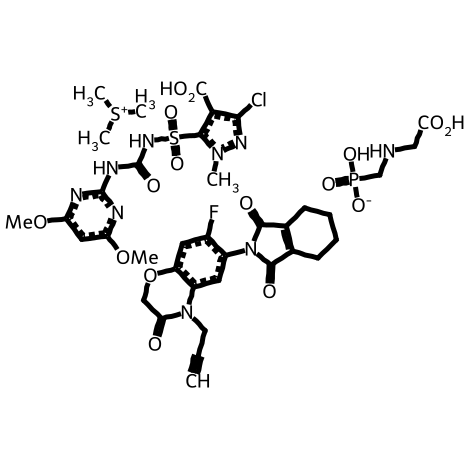 C#CCN1C(=O)COc2cc(F)c(N3C(=O)C4=C(CCCC4)C3=O)cc21.COc1cc(OC)nc(NC(=O)NS(=O)(=O)c2c(C(=O)O)c(Cl)nn2C)n1.C[S+](C)C.O=C(O)CNCP(=O)([O-])O